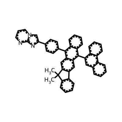 CC1(C)c2ccccc2-c2cc3c(-c4cc5ccccc5c5ccccc45)c4ccccc4c(-c4ccc(-c5cn6cccnc6n5)cc4)c3cc21